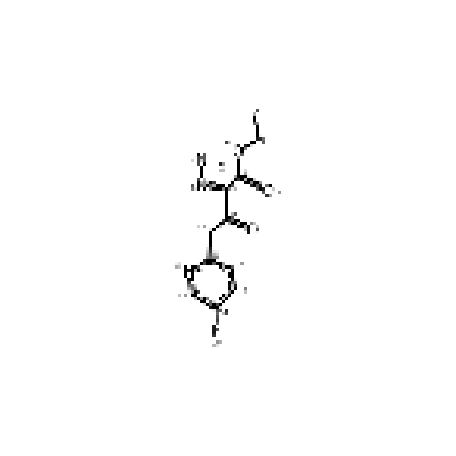 CCOC(=O)C(=NN)C(=O)Cc1ccc(F)cn1